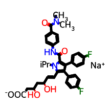 CC(C)n1c(/C=C/[C@@H](O)C[C@@H](O)CC(=O)[O-])c(-c2ccc(F)cc2)c(-c2ccc(F)cc2)c1C(=O)Nc1ccc(C(=O)N(C)C)cc1.[Na+]